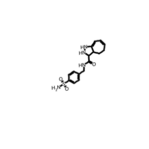 NS(=O)(=O)c1ccc(CNC(=O)C2NNC3=CC=CCCC32)cc1